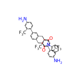 Nc1ccc(-c2ccc3c(c2)C2c4ccc(-c5ccc(N)cc5C(F)(F)F)cc4C3C3(C(F)(F)F)C(=O)N(c4ccccc4)C(=O)C23)c(C(F)(F)F)c1